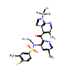 COCN(c1cc(C)cnc1C(=O)c1c(C)cnc2c1ccn2[Si](C(C)C)(C(C)C)C(C)C)S(=O)(=O)c1ccc(Cl)c(C(F)(F)F)c1